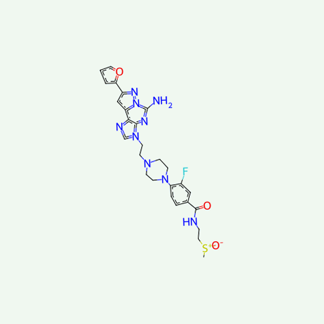 C[S+]([O-])CCNC(=O)c1ccc(N2CCN(CCn3cnc4c3nc(N)n3nc(-c5ccco5)cc43)CC2)c(F)c1